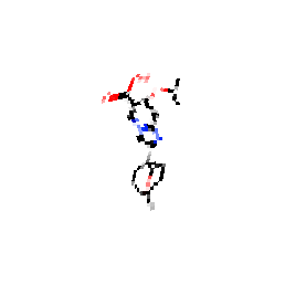 CC(C)Oc1cc2nc(C34CCC(C)(CC3)OC4)cn2cc1C(=O)O